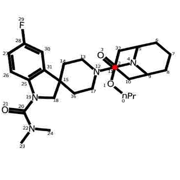 CCCOC(=O)N1C2CCCC1CC(N1CCC3(CC1)CN(C(=O)N(C)C)c1ccc(F)cc13)C2